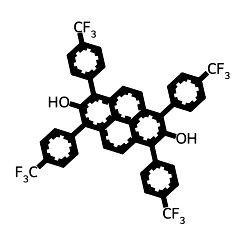 Oc1c(-c2ccc(C(F)(F)F)cc2)c2ccc3c(-c4ccc(C(F)(F)F)cc4)c(O)c(-c4ccc(C(F)(F)F)cc4)c4ccc(c1-c1ccc(C(F)(F)F)cc1)c2c34